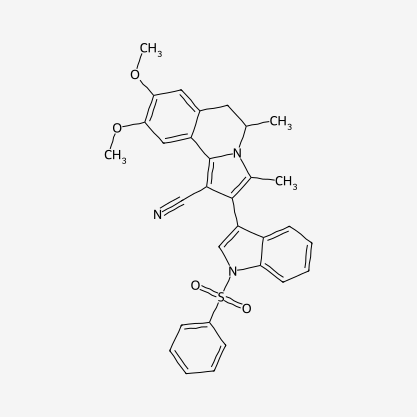 COc1cc2c(cc1OC)-c1c(C#N)c(-c3cn(S(=O)(=O)c4ccccc4)c4ccccc34)c(C)n1C(C)C2